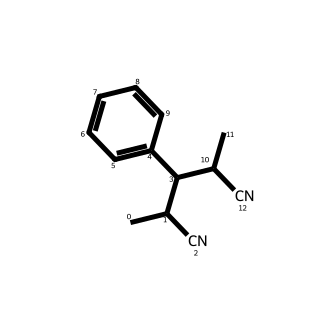 CC(C#N)C(c1ccccc1)C(C)C#N